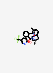 Cc1cccnc1-c1ccccc1C(=O)N1[C@@H]2CC[C@H]1[C@H](Oc1ccc(C(F)(F)F)cn1)C2